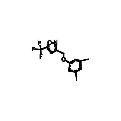 Cc1cc(C)cc(OCc2cc(C(F)(F)F)on2)c1